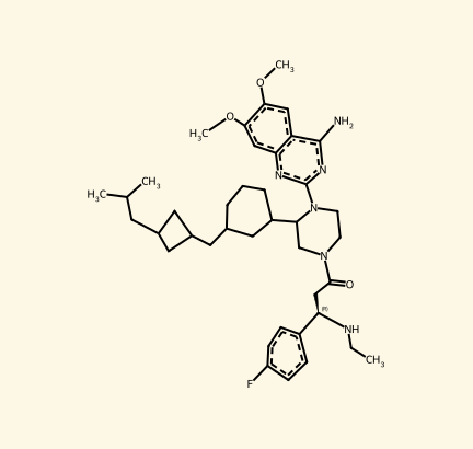 CCN[C@H](CC(=O)N1CCN(c2nc(N)c3cc(OC)c(OC)cc3n2)C(C2CCCC(CC3CC(CC(C)C)C3)C2)C1)c1ccc(F)cc1